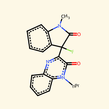 CCCn1c(=O)c(C2(F)C(=O)N(C)c3ccccc32)nc2ccccc21